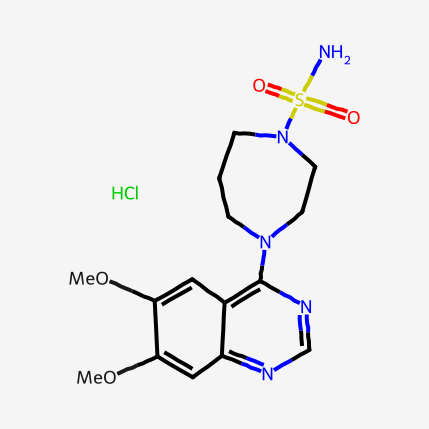 COc1cc2ncnc(N3CCCN(S(N)(=O)=O)CC3)c2cc1OC.Cl